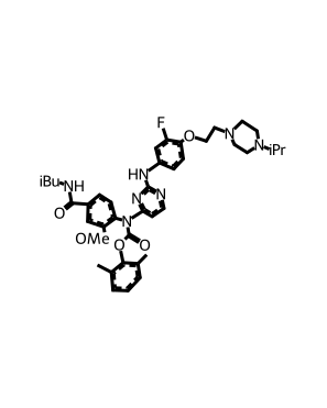 CCC(C)NC(=O)c1ccc(N(C(=O)Oc2c(C)cccc2C)c2ccnc(Nc3ccc(OCCN4CCN(C(C)C)CC4)c(F)c3)n2)c(OC)c1